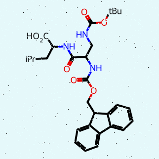 CC(C)CC(NC(=O)C(CNC(=O)OC(C)(C)C)NC(=O)OCC1c2ccccc2-c2ccccc21)C(=O)O